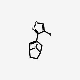 CN1C2C=C(c3nocc3I)CC1CC2